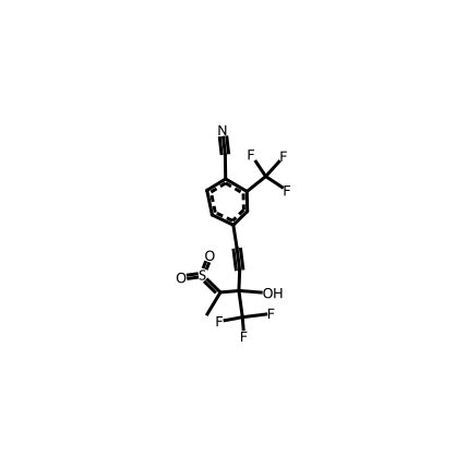 CC(=S(=O)=O)C(O)(C#Cc1ccc(C#N)c(C(F)(F)F)c1)C(F)(F)F